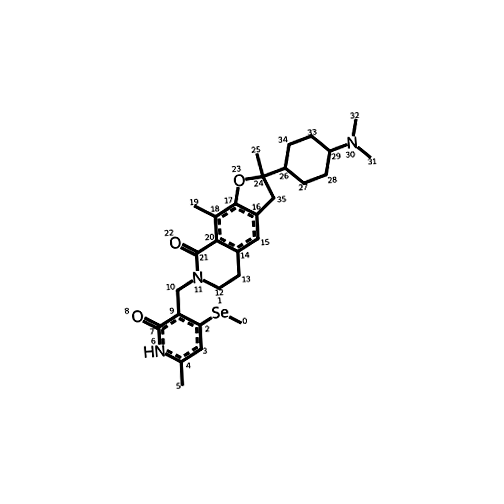 C[Se]c1cc(C)[nH]c(=O)c1CN1CCc2cc3c(c(C)c2C1=O)OC(C)(C1CCC(N(C)C)CC1)C3